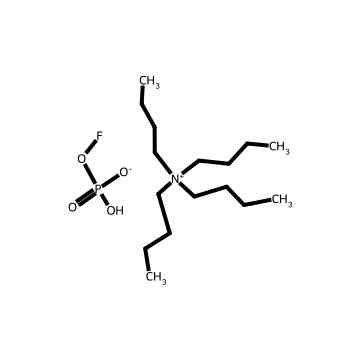 CCCC[N+](CCCC)(CCCC)CCCC.O=P([O-])(O)OF